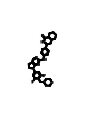 O=C1NC(c2ccc(Nc3ncc4c(n3)N(c3cc(F)c(CN5CCOCC5)c(F)c3)CC4)cc2)CN2CCCCC12